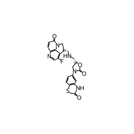 O=C1CSc2ccc(N3C[C@H](CNC[C@H]4Cn5c(=O)ccc6ncc(F)c4c65)OC3=O)cc2N1